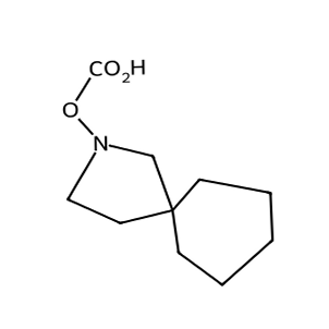 O=C(O)ON1CCC2(CCCCC2)C1